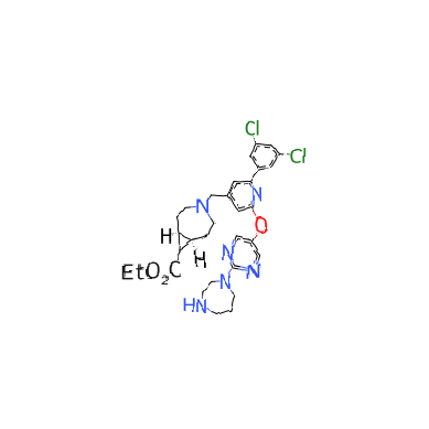 CCOC(=O)C1[C@H]2CCN(Cc3cc(Oc4cnc(N5CCCNCC5)nc4)nc(-c4cc(Cl)cc(Cl)c4)c3)CC[C@@H]12